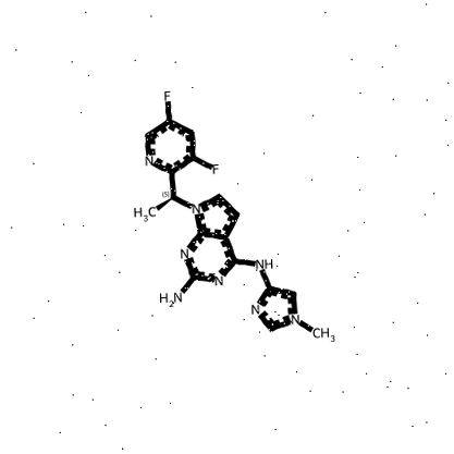 C[C@@H](c1ncc(F)cc1F)n1ccc2c(Nc3cn(C)cn3)nc(N)nc21